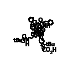 CC(C)C[C@@H](NC(=O)[C@@H](Cc1ccccc1)NC(=O)[C@@H](Cc1ccccc1)NC(=O)OC(C)(C)C)C(=O)N[C@H](CCCCNC(=O)OC(C)(C)C)C(=O)N1CCC2(CC1)CN(C(=O)O)C2C(C)(C)C